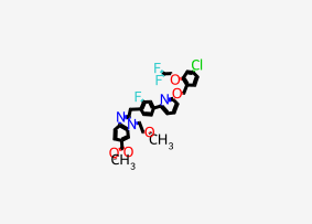 COCCn1c(Cc2ccc(-c3cccc(OCc4ccc(Cl)cc4OCC(F)F)n3)cc2F)nc2ccc(C(=O)OC)cc21